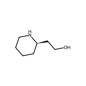 OCC[C@H]1CCCCN1